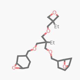 CCC(COCC1CCC2OC2C1)(COCC1CCC2CC1O2)COCC1(CC)COC1